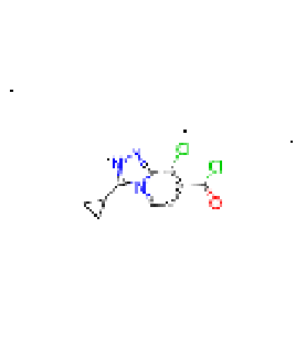 O=C(Cl)c1ccn2c(C3CC3)nnc2c1Cl